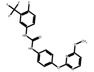 COc1ccnc(Oc2ccc(NC(=O)Nc3ccc(F)c(C(F)(F)F)c3)cc2)n1